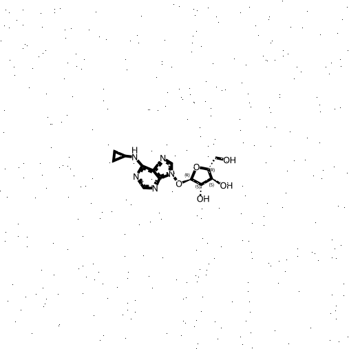 OC[C@H]1O[C@H](On2cnc3c(NC4CC4)ncnc32)[C@@H](O)[C@@H]1O